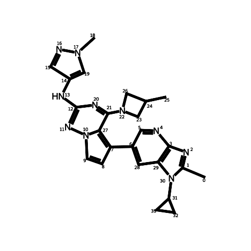 Cc1nc2ncc(-c3ccn4nc(Nc5cnn(C)c5)nc(N5CC(C)C5)c34)cc2n1C1CC1